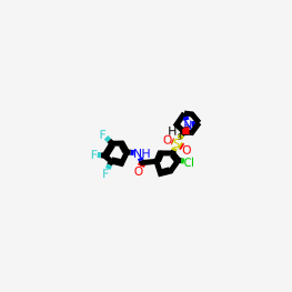 CN1C2CC1CC(S(=O)(=O)c1cc(C(=O)Nc3cc(F)c(F)c(F)c3)ccc1Cl)C2